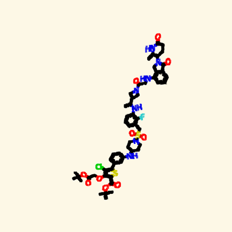 C=C(Nc1cccc(CS(=O)(=O)N2CCC(Nc3cccc(-c4sc(C(=O)OC(C)(C)C)c(OCC(=O)OC(C)(C)C)c4Cl)c3)CC2)c1F)C1CN(C(=O)CNc2cccc3c2CN(C2CCC(=O)NC2=C)C3=O)C1